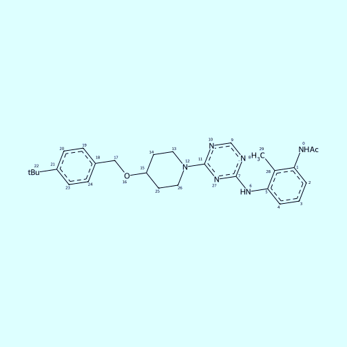 CC(=O)Nc1cccc(Nc2ncnc(N3CCC(OCc4ccc(C(C)(C)C)cc4)CC3)n2)c1C